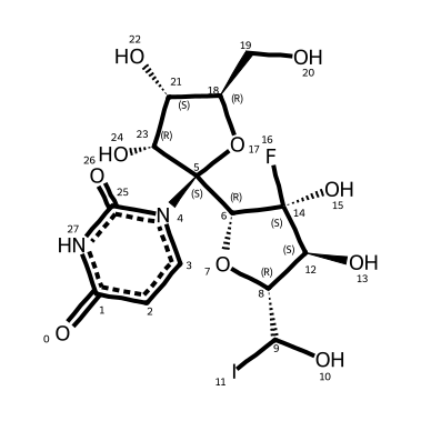 O=c1ccn([C@]2([C@H]3O[C@@H](C(O)I)[C@H](O)[C@]3(O)F)O[C@H](CO)[C@@H](O)[C@H]2O)c(=O)[nH]1